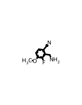 COc1ccc(C#N)c(CN)c1F